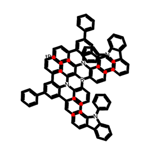 CC(C)(C)c1cc2c3c(c1)N(c1c(-c4ccccc4)cc(-c4ccccc4)cc1-c1ccccc1)c1cc(-c4cccc5c6ccccc6n(-c6ccccc6)c45)ccc1B3c1ccc(-c3cccc4c5ccccc5n(-c5ccccc5)c34)cc1N2c1c(-c2ccccc2)cc(-c2ccccc2)cc1-c1ccccc1